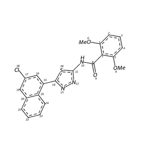 COc1cccc(OC)c1C(=O)Nc1nnc(-c2cc(Cl)cc3ccccc23)s1